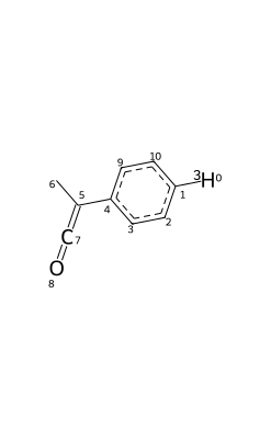 [3H]c1ccc(C(C)=C=O)cc1